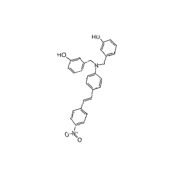 O=[N+]([O-])c1ccc(/C=C/c2ccc(N(Cc3cccc(O)c3)Cc3cccc(O)c3)cc2)cc1